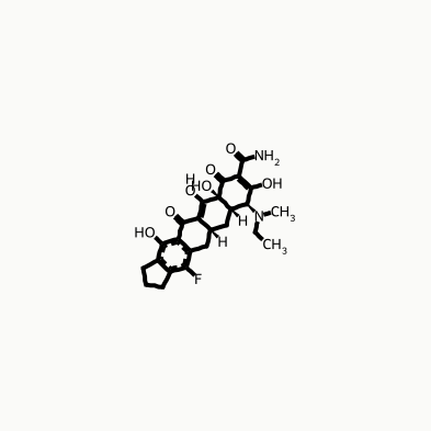 CCN(C)[C@@H]1C(O)=C(C(N)=O)C(=O)[C@@]2(O)C(O)=C3C(=O)c4c(O)c5c(c(F)c4C[C@H]3C[C@@H]12)CCC5